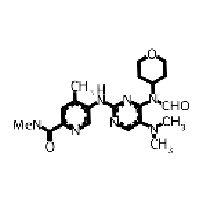 CNC(=O)c1cc(C)c(Nc2ncc(N(C)C)c(N(C=O)C3CCOCC3)n2)cn1